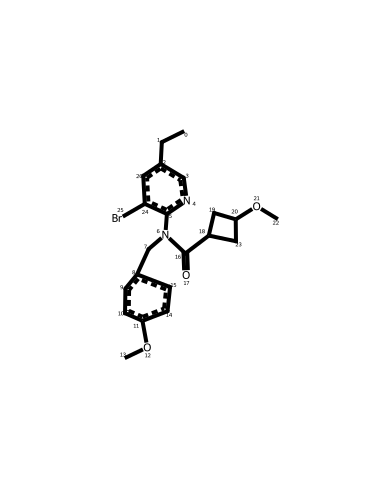 CCc1cnc(N(Cc2ccc(OC)cc2)C(=O)C2CC(OC)C2)c(Br)c1